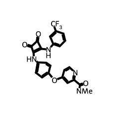 CNC(=O)c1cc(Oc2ccc(Nc3c(Nc4cccc(C(F)(F)F)c4)c(=O)c3=O)cc2)ccn1